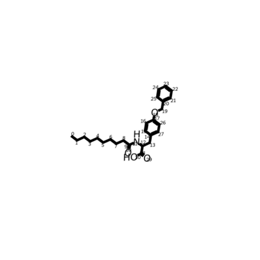 CCCCCCCCCC(=O)NC(Cc1ccc(OCc2ccccc2)cc1)C(=O)O